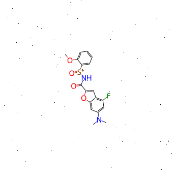 COc1ccccc1[S+]([O-])NC(=O)c1cc2c(F)cc(N(C)C)cc2o1